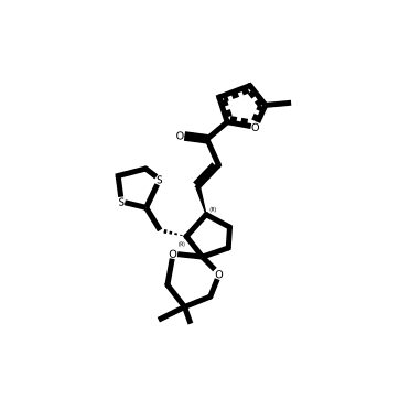 Cc1ccc(C(=O)C=C[C@H]2CCC3(OCC(C)(C)CO3)[C@@H]2CC2SCCS2)o1